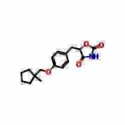 CC1(COc2ccc(CC3OC(=O)NC3=O)cc2)CCCC1